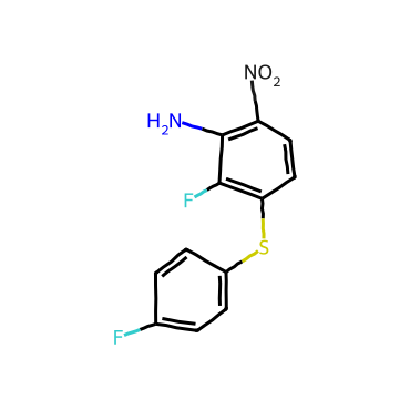 Nc1c([N+](=O)[O-])ccc(Sc2ccc(F)cc2)c1F